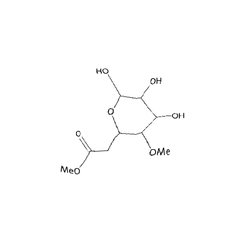 COC(=O)CC1OC(O)C(O)C(O)C1OC